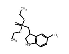 CCOP(=O)(CC1CNc2ccc(C)cc21)OCC